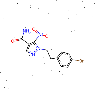 NC(=O)c1cnn(CCc2ccc(Br)cc2)c1[N+](=O)[O-]